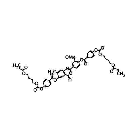 C=CC(=O)OCCCCOC(=O)Oc1ccc(C(=O)Oc2cc3c(=O)oc(-c4ccc(OC(=O)c5ccc(OC(=O)OCCCCOC(=O)C=C)cc5)c(OC)c4)nc3cc2C)cc1